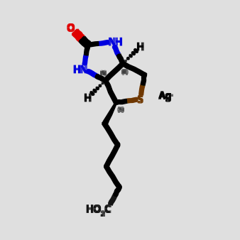 O=C(O)CCCC[C@@H]1SC[C@@H]2NC(=O)N[C@@H]21.[Ag]